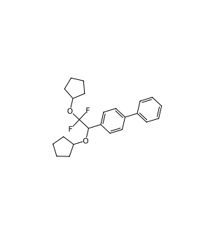 FC(F)(OC1CCCC1)C(OC1CCCC1)c1ccc(-c2ccccc2)cc1